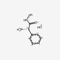 CCCNC(=O)[C@@H](N)c1ccccc1.Cl